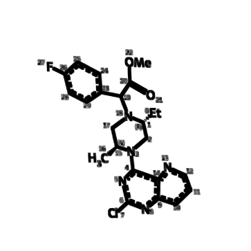 CC[C@@H]1CN(c2nc(Cl)nc3cccnc23)[C@@H](C)CN1C(C(=O)OC)c1ccc(F)cc1